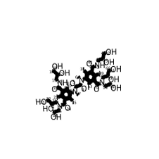 CN(C(=O)C(=O)N(C)c1c(I)c(C(=O)NCC(O)CO)c(I)c(C(=O)N(CCO)CC(O)CO)c1I)c1c(I)c(C(=O)NCC(O)CO)c(I)c(C(=O)N(CCO)CC(O)CO)c1I